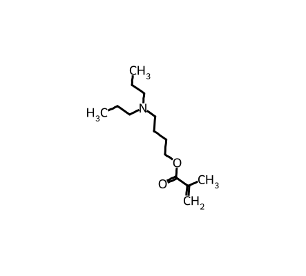 C=C(C)C(=O)OCCCCN(CCC)CCC